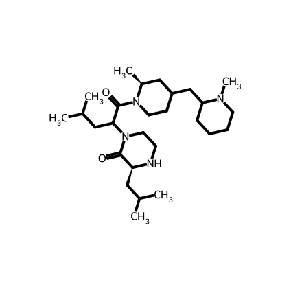 CC(C)CC(C(=O)N1CCC(CC2CCCCN2C)C[C@@H]1C)N1CCN[C@@H](CC(C)C)C1=O